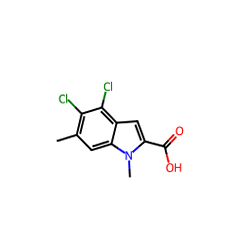 Cc1cc2c(cc(C(=O)O)n2C)c(Cl)c1Cl